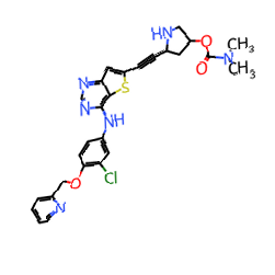 CN(C)C(=O)OC1CNC(C#Cc2cc3ncnc(Nc4ccc(OCc5ccccn5)c(Cl)c4)c3s2)C1